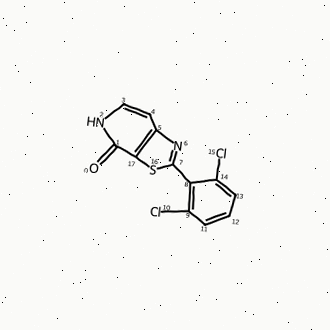 O=c1[nH]ccc2nc(-c3c(Cl)cccc3Cl)sc12